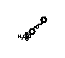 CS(=O)(=O)O[C@H]1CC[C@@H](COCCc2ccccc2)CC1